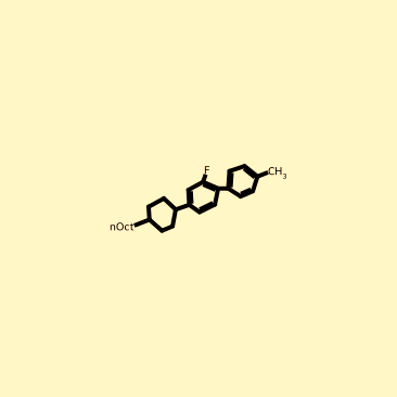 CCCCCCCCC1CCC(c2ccc(-c3ccc(C)cc3)c(F)c2)CC1